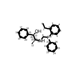 CCc1ccccc1P(CN[C@@H](C)[C@H](O)c1ccccc1)c1ccccc1